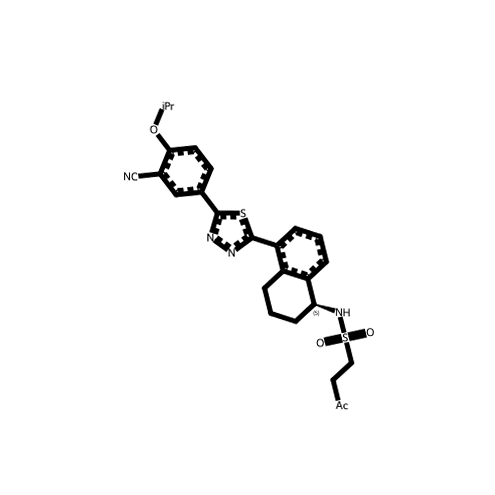 CC(=O)CCS(=O)(=O)N[C@H]1CCCc2c(-c3nnc(-c4ccc(OC(C)C)c(C#N)c4)s3)cccc21